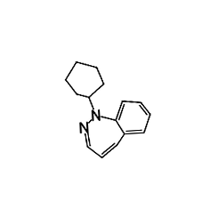 C1=Cc2ccccc2N(C2CCCCC2)N=C1